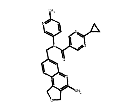 Cc1ccc(N(Cc2ccc3c4c(c(N)nc3c2)COC4)C(=O)c2cnc(C3CC3)nc2)cn1